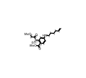 C=CCCCCNc1ccc(C(=O)OC)c(N(CC)C(=O)COC)c1